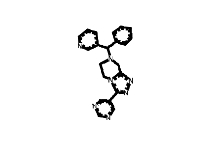 c1ccc(C(c2cccnc2)N2CCn3c(nnc3-c3cncnc3)C2)cc1